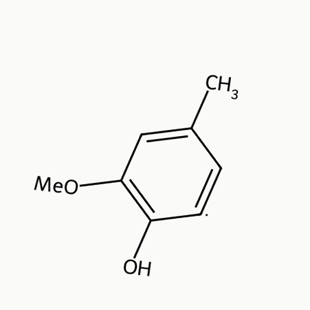 COc1cc(C)c[c]c1O